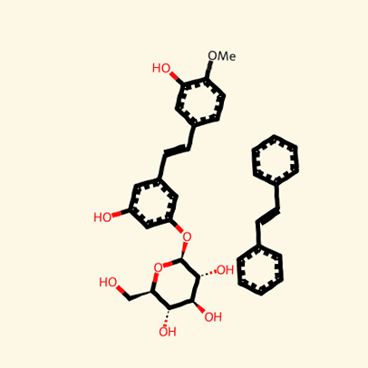 C(=Cc1ccccc1)c1ccccc1.COc1ccc(/C=C/c2cc(O)cc(O[C@@H]3O[C@H](CO)[C@@H](O)[C@H](O)[C@H]3O)c2)cc1O